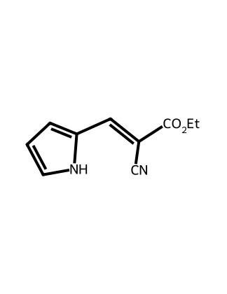 CCOC(=O)C(C#N)=Cc1ccc[nH]1